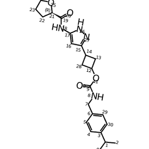 CC(C)c1ccc(CNC(=O)OC2CC(c3cc(NC(=O)[C@H]4CCCO4)[nH]n3)C2)cc1